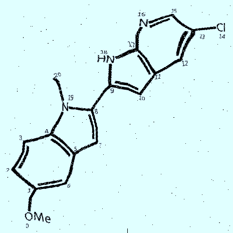 COc1ccc2c(c1)cc(-c1cc3cc(Cl)cnc3[nH]1)n2C